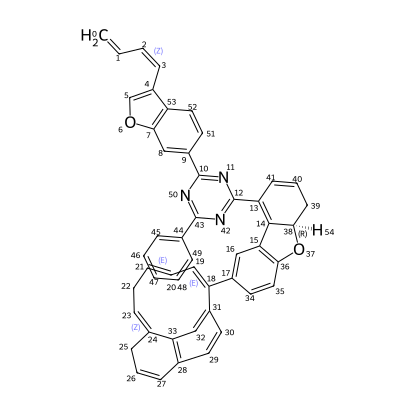 C=C/C=C\c1coc2cc(-c3nc(C4=C5c6cc(/C7=C/C=C/C/C=C8/CC=Cc9ccc7cc98)ccc6O[C@@H]5CC=C4)nc(-c4ccccc4)n3)ccc12